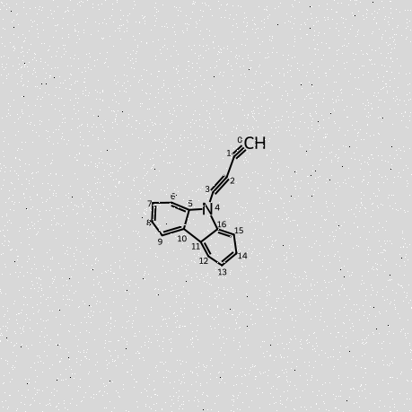 C#CC#Cn1c2ccccc2c2ccccc21